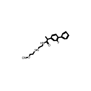 CC(C(=O)NCCSSCCON=O)c1ccc(-c2ccccc2)c(F)c1